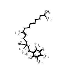 CC(C)=CCC/C=C/CC/C(C)=C/CC[C@@](C)(O)CC(C)C1=C(C)C(=O)C(C)=C(C)C1=O